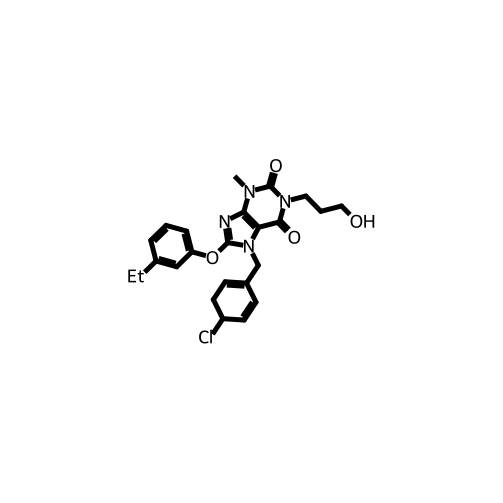 CCc1cccc(Oc2nc3c(c(=O)n(CCCO)c(=O)n3C)n2CC2=CCC(Cl)C=C2)c1